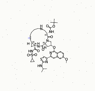 COc1ccc2c(OC3C[C@H]4C(=O)N[C@]5(C(=O)NS(=O)(=O)C6CC6)C[C@H]5/C=C\CCCNC[C@H](NC(=O)OC(C)(C)C)C(=O)N4C3)nc(-c3csc(NC(C)C)n3)cc2c1